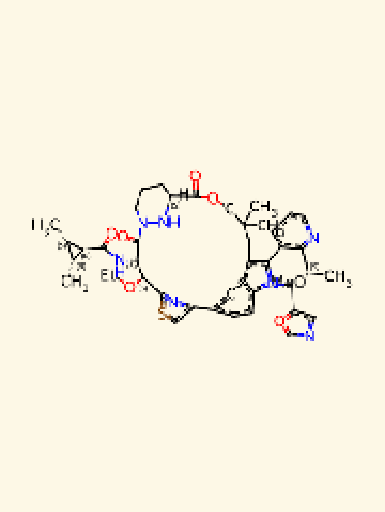 CCO[C@@H]1c2nc(cs2)-c2ccc3c(c2)c(c(-c2cccnc2[C@H](C)OC)n3Cc2cnco2)CC(C)(C)COC(=O)[C@@H]2CCCN(N2)C(=O)[C@H]1NC(=O)[C@H]1[C@H](C)[C@@H]1C